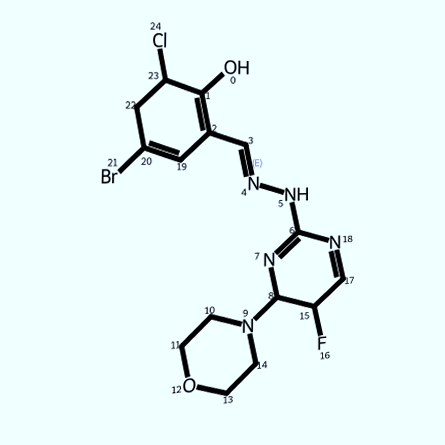 OC1=C(/C=N/NC2=NC(N3CCOCC3)C(F)C=N2)C=C(Br)CC1Cl